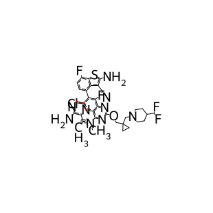 C[C@H](c1nccnc1N)N(C)c1nc(OCC2(CN3CCC(C(F)F)CC3)CC2)nc2c(F)c(-c3ccc(F)c4sc(N)c(C#N)c34)c(Cl)cc12